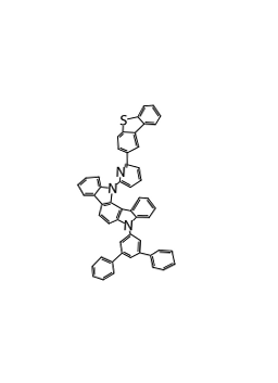 c1ccc(-c2cc(-c3ccccc3)cc(-n3c4ccccc4c4c3ccc3c5ccccc5n(-c5cccc(-c6ccc7sc8ccccc8c7c6)n5)c34)c2)cc1